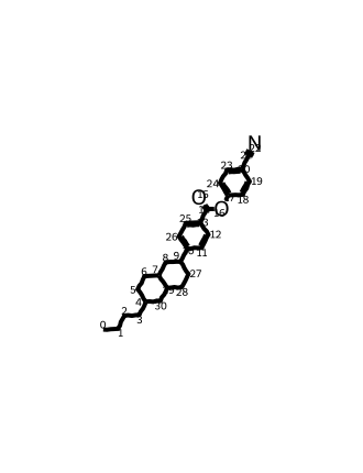 CCCCC1CCC2CC(c3ccc(C(=O)Oc4ccc(C#N)cc4)cc3)CCC2C1